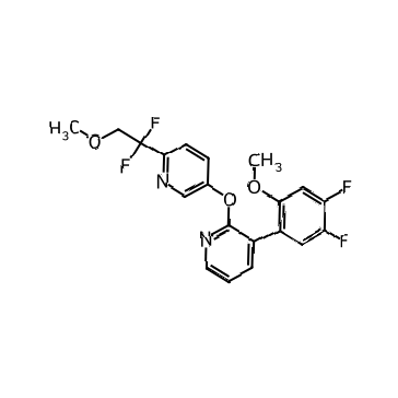 COCC(F)(F)c1ccc(Oc2ncccc2-c2cc(F)c(F)cc2OC)cn1